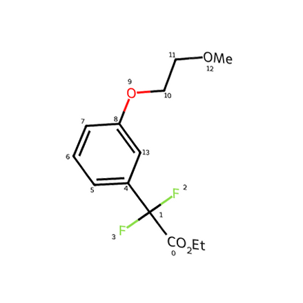 CCOC(=O)C(F)(F)c1cccc(OCCOC)c1